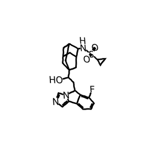 O=S(=O)(NC1C2CC3CC1CC(C(O)CC1c4c(F)cccc4-c4cncn41)(C3)C2)C1CC1